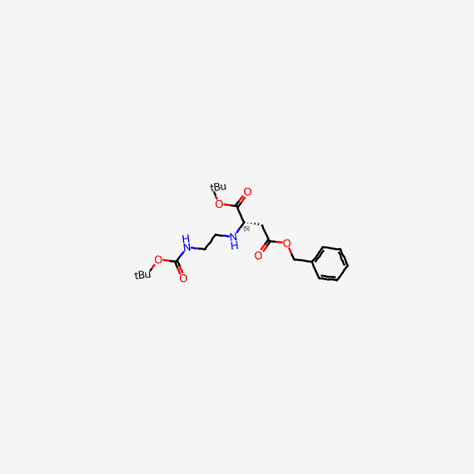 CC(C)(C)OC(=O)NCCN[C@@H](CC(=O)OCc1ccccc1)C(=O)OC(C)(C)C